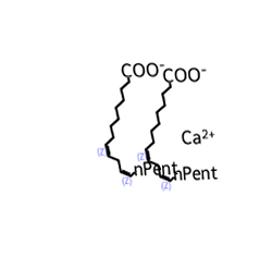 CCCCC/C=C\C/C=C\CCCCCCCC(=O)[O-].CCCCC/C=C\C/C=C\CCCCCCCC(=O)[O-].[Ca+2]